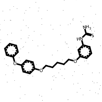 NC(=S)Nc1cccc(OCCCCCOc2ccc(Oc3ccccc3)cc2)c1